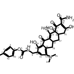 Cc1ccc(OC(=O)NCc2cc(N(C)C)c3c(c2O)C(=O)C2=C(O)[C@]4(O)C(=O)C(C(N)=O)=C(O)CC4CC2C3)cc1